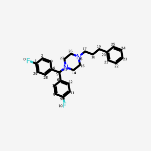 Fc1ccc(C(c2ccc(F)cc2)N2CCN(CC[CH]c3ccccc3)CC2)cc1